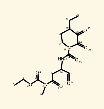 CCOC(=O)N(C)C(=O)CC([C]=O)NC(=O)N1CCC(CC)C(=O)C1=O